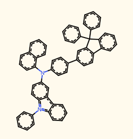 c1ccc(-n2c3ccccc3c3cc(N(c4ccc(-c5ccc6c(c5)C(c5ccccc5)(c5ccccc5)c5ccccc5-6)cc4)c4cccc5ccccc45)ccc32)cc1